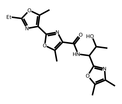 CCc1nc(-c2nc(C(=O)NC(c3nc(C)c(C)o3)C(C)O)c(C)o2)c(C)o1